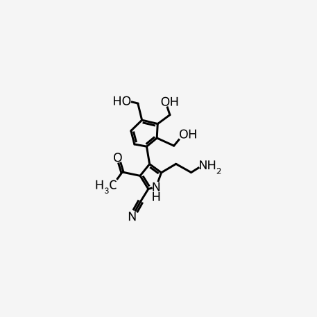 CC(=O)c1c(C#N)[nH]c(CCN)c1-c1ccc(CO)c(CO)c1CO